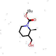 C[C@H]1C(CO)CCCN1C(=O)OC(C)(C)C